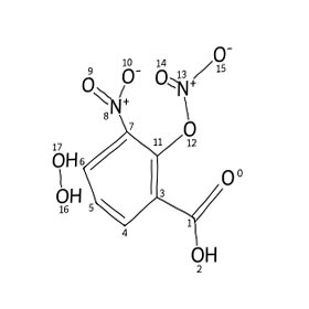 O=C(O)c1cccc([N+](=O)[O-])c1O[N+](=O)[O-].OO